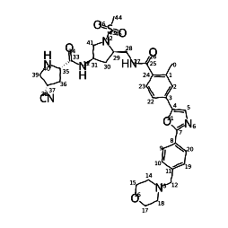 Cc1cc(-c2cnc(-c3ccc(CN4CCOCC4)cc3)o2)ccc1C(=O)NC[C@H]1C[C@@H](NC(=O)[C@@H]2C[C@H](C#N)CN2)CN1S(C)(=O)=O